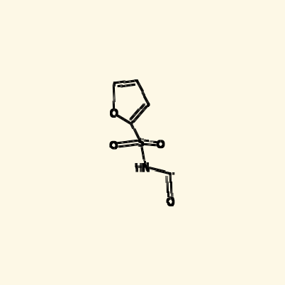 O=[C]NS(=O)(=O)c1ccco1